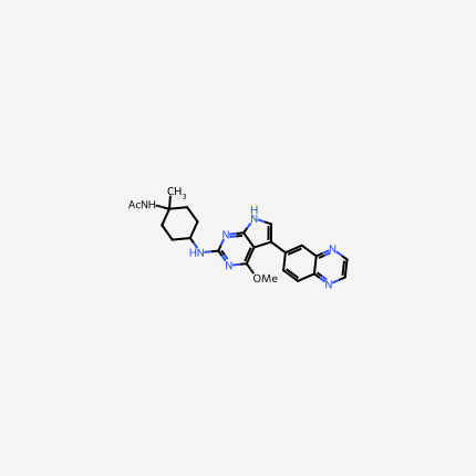 COc1nc(NC2CCC(C)(NC(C)=O)CC2)nc2[nH]cc(-c3ccc4nccnc4c3)c12